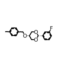 Cc1ccc(CO[C@H]2CO[C@@H](c3cccc(F)c3)OC2)cc1